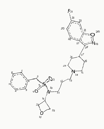 O=S(=O)(Cc1ccccc1)N(CCCN1CCC(c2noc3cc(F)ccc23)CC1)C1COC1